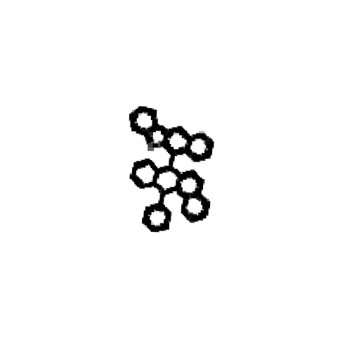 C1=CC2=C(c3c4ccccc4cc4c3sc3ccccc34)c3ccc4ccccc4c3C(c3ccccc3)C2C=C1